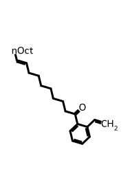 C=Cc1ccccc1C(=O)CCCCCCCC=CCCCCCCCC